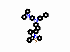 c1ccc(-c2ccc(N(c3ccc(-n4c5ccccc5c5ccccc54)cc3)c3ccc4c(ccc5cc(N6C7=C(Sc8ccccc86)c6ccccc6C7c6ccccc6)ccc54)c3)cc2)cc1